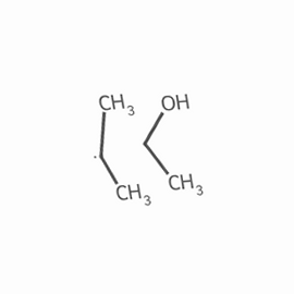 CCO.C[CH]C